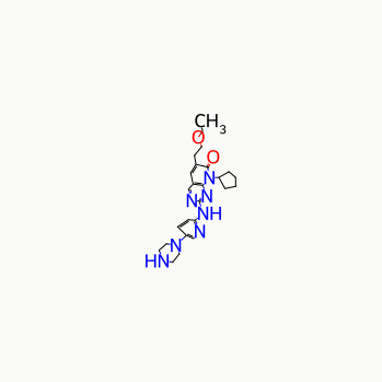 CCOCCc1cc2cnc(Nc3ccc(N4CCNCC4)cn3)nc2n(C2CCCC2)c1=O